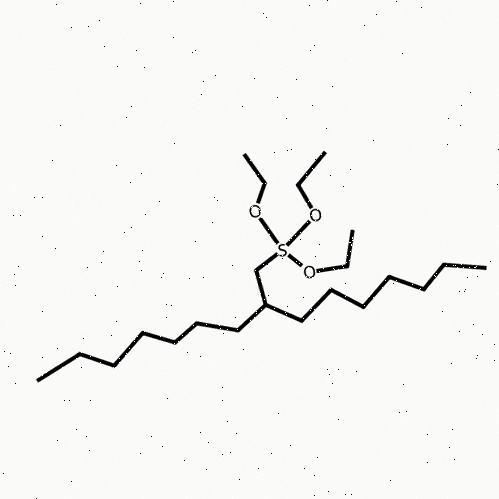 CCCCCCCC(CCCCCCC)CS(OCC)(OCC)OCC